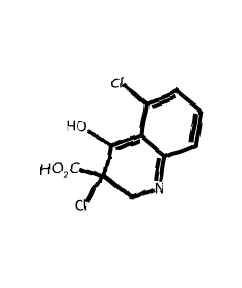 O=C(O)C1(Cl)CN=c2cccc(Cl)c2=C1O